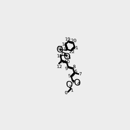 CCOC(=O)C=C(C)C=CC=C(C)CS(=O)(=O)c1ccccc1